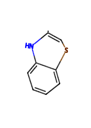 [C]1=CSc2ccccc2N1